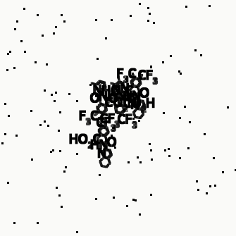 Cc1cccc(NC(=O)c2cc(C(F)(F)F)c(C(F)(F)F)cc2C(=O)O)n1.Cc1cnc(NC(=O)c2ccc(C(F)(F)F)cc2C(=O)O)nc1C.O=C(O)c1cc(C(F)(F)F)c(C(F)(F)F)cc1C(=O)Nc1ccc2c(n1)CCCC2.O=C(O)c1cc(C(F)(F)F)ccc1C(=O)Nc1ccc2c(n1)CCCC2